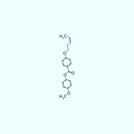 C/C=C\CCOc1ccc(C(=O)Oc2ccc(OC)cc2)cc1